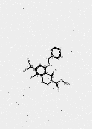 CC(C)(C)OC(=O)N1CCc2c(F)c(C(F)F)cc(OCc3ccccc3)c2C1=O